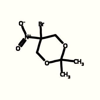 CC1(C)OCC(Br)([N+](=O)[O-])CO1